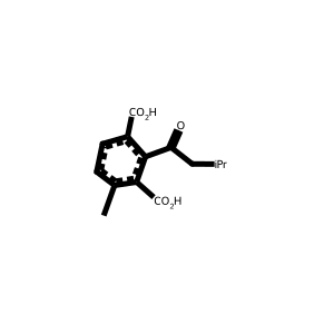 Cc1ccc(C(=O)O)c(C(=O)CC(C)C)c1C(=O)O